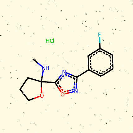 CNC1(c2nc(-c3cccc(F)c3)no2)CCCO1.Cl